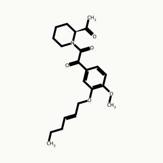 CCC/C=C/COc1cc(C(=O)C(=O)N2CCCC[C@H]2C(C)=O)ccc1OC